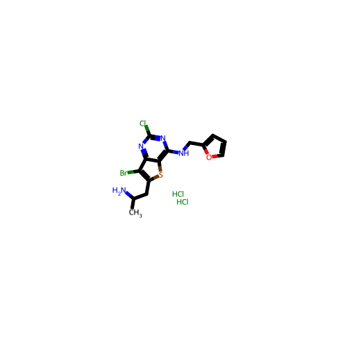 CC(N)Cc1sc2c(NCc3ccco3)nc(Cl)nc2c1Br.Cl.Cl